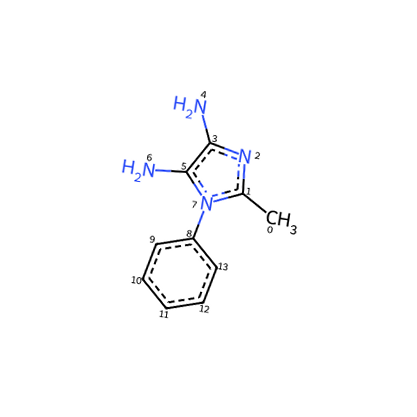 Cc1nc(N)c(N)n1-c1ccccc1